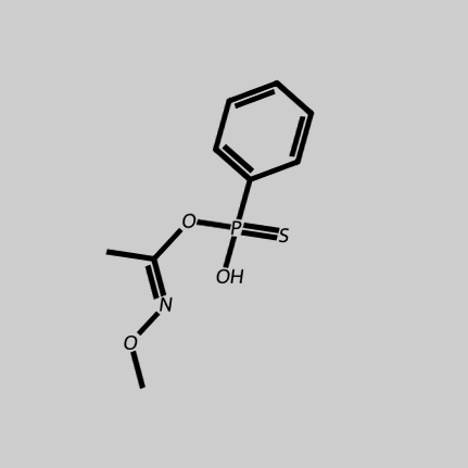 CON=C(C)OP(O)(=S)c1ccccc1